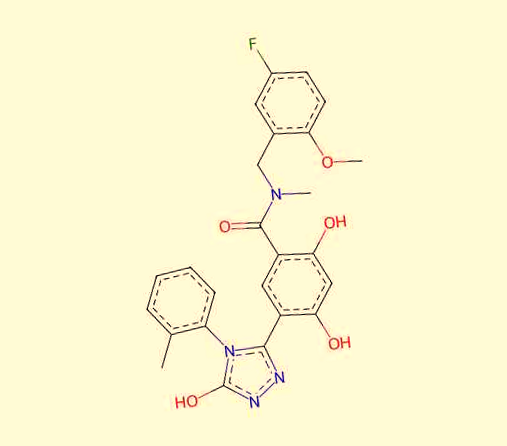 COc1ccc(F)cc1CN(C)C(=O)c1cc(-c2nnc(O)n2-c2ccccc2C)c(O)cc1O